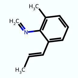 C=Nc1c(C)cccc1C=CC